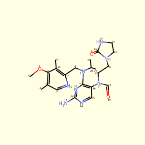 COc1c(C)cnc(CN(c2nc(N)ncc2N(C=O)CCN2CCNC2=O)C(C)C)c1C